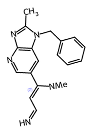 CN/C(=C\C=N)c1cnc2nc(C)n(Cc3ccccc3)c2c1